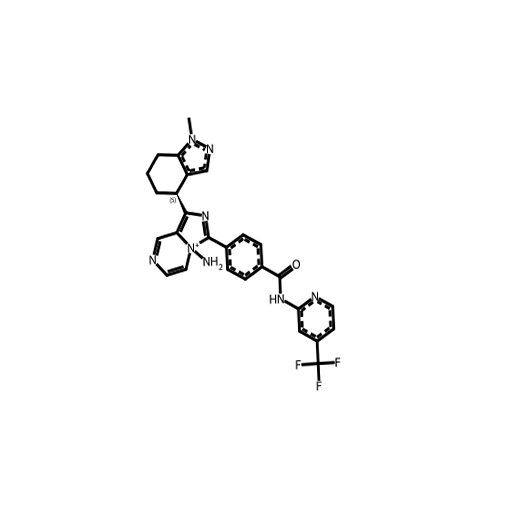 Cn1ncc2c1CCC[C@@H]2C1=C2C=NC=C[N+]2(N)C(c2ccc(C(=O)Nc3cc(C(F)(F)F)ccn3)cc2)=N1